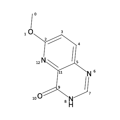 COc1ccc2nc[nH]c(=O)c2n1